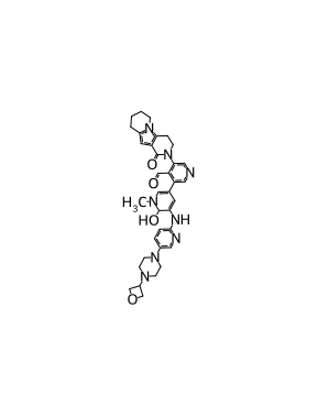 CN1C=C(c2cncc(N3CCc4c(cc5n4CCCC5)C3=O)c2C=O)C=C(Nc2ccc(N3CCN(C4COC4)CC3)cn2)C1O